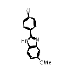 COc1ccc2[nH]c(-c3ccc(Cl)cc3)nc2c1